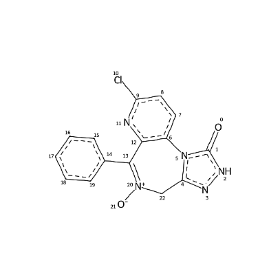 O=c1[nH]nc2n1-c1ccc(Cl)nc1C(c1ccccc1)=[N+]([O-])C2